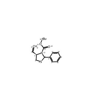 C=C[C@@H]1CSC(c2ccccc2)N1C(=O)OC(C)(C)C